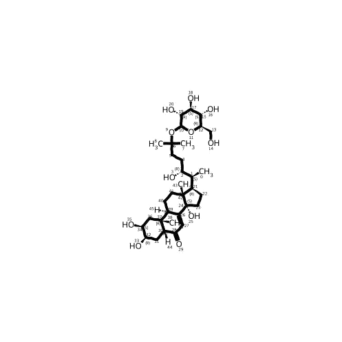 C[C@H]([C@H](O)CCC(C)(C)OC1O[C@H](CO)[C@@H](O)[C@H](O)[C@H]1O)[C@H]1CC[C@@]2(O)C3=CC(=O)[C@@H]4C[C@@H](O)[C@@H](O)C[C@]4(C)[C@H]3CC[C@]12C